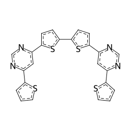 c1csc(-c2cc(-c3ccc(-c4ccc(-c5cc(-c6cccs6)ncn5)s4)s3)ncn2)c1